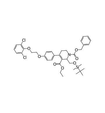 CCOC(=O)C1=C(c2ccc(OCCOc3c(Cl)cccc3Cl)cc2)CCN(C(=O)OCc2ccccc2)C1CO[Si](C)(C)C(C)(C)C